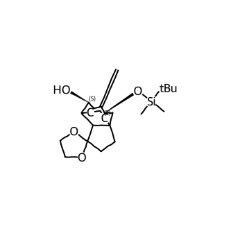 C=C1C[C@H](O)C2CCCC3(CCC4(OCCO4)C23)C[C@H]1O[Si](C)(C)C(C)(C)C